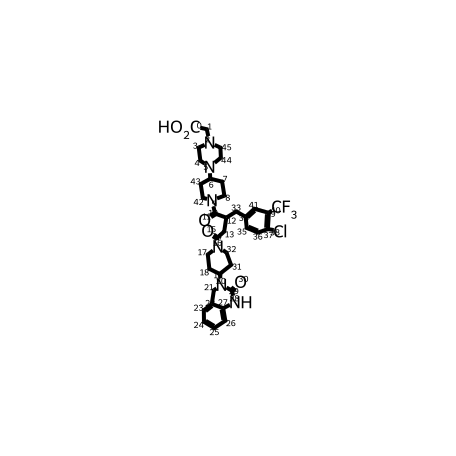 O=C(O)CN1CCN(C2CCN(C(=O)C(CC(=O)N3CCC(N4Cc5ccccc5NC4=O)CC3)Cc3ccc(Cl)c(C(F)(F)F)c3)CC2)CC1